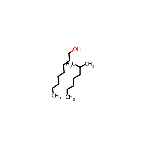 CCCCCC(C)C.CCCCCCCCO